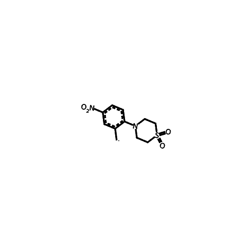 [CH2]c1cc([N+](=O)[O-])ccc1N1CCS(=O)(=O)CC1